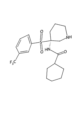 O=C(N[C@]1(S(=O)(=O)c2cccc(C(F)(F)F)c2)CCCNC1)C1CCCCC1